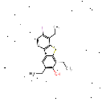 CCc1cc2c(sc3c(CC)c(I)ccc32)c(CC)c1O